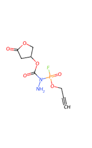 C#CCOP(=O)(F)N(N)C(=O)OC1COC(=O)C1